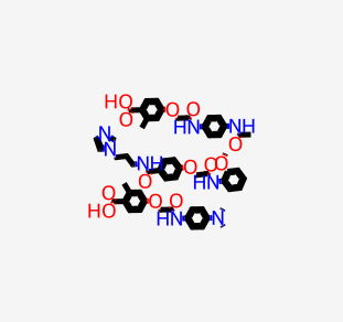 CC(=O)Nc1ccc(NC(=O)COc2ccc(C(=O)O)c(C)c2)cc1.COc1ccccc1NC(=O)COc1ccc(C(=O)NCCCn2ccnc2)cc1.Cc1cc(OCC(=O)Nc2ccc(N(C)C)cc2)ccc1C(=O)O